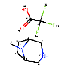 CN1C2CCC1CNC2.O=C(O)C(F)(F)F